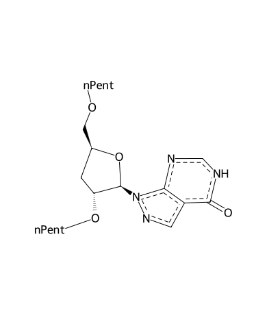 CCCCCOC[C@@H]1C[C@@H](OCCCCC)[C@H](n2ncc3c(=O)[nH]cnc32)O1